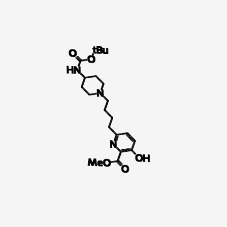 COC(=O)c1nc(CCCCN2CCC(NC(=O)OC(C)(C)C)CC2)ccc1O